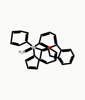 [SiH2]=[Zr]([C]1=CC=CC1)([c]1ccccc1)([c]1ccccc1)[c]1cccc2c1Cc1ccccc1-2